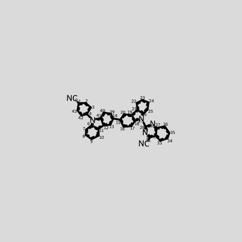 N#Cc1ccc(-n2c3ccccc3c3cc(-c4ccc5c(c4)c4ccccc4n5-c4nc(C#N)c5ccccc5n4)ccc32)cc1